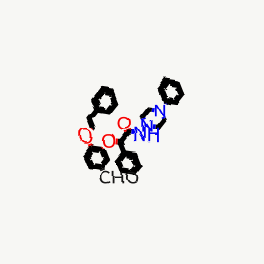 O=Cc1ccc(OCCc2ccccc2)c(OC(C(=O)NN2CCN(c3ccccc3)CC2)c2ccccc2)c1